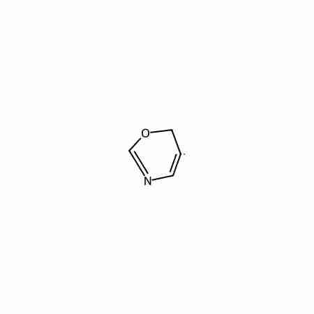 [C]1=CN=COC1